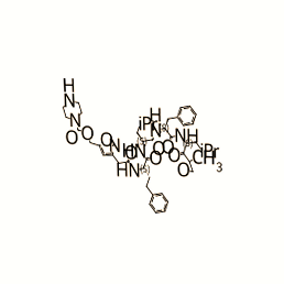 CC(C)C[C@H](NC(=O)[C@H](CCc1ccccc1)NC(=O)Cc1cc(COC(=O)N2CCNCC2)on1)C(=O)N[C@@H](Cc1ccccc1)C(=O)N[C@@H](CC(C)C)C(=O)C1(C)CO1